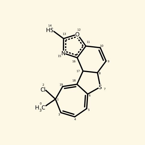 CC1(Cl)C=CC=C2SC3C=Cc4oc(S)nc4C3C2=C1